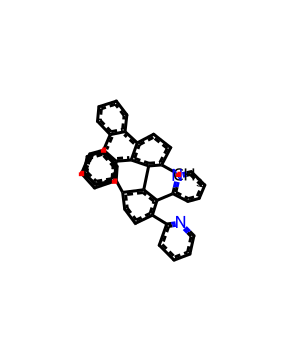 Cc1ccc2c3ccccc3c3ccccc3c2c1-c1c(-c2ccccc2)ccc(-c2ccccn2)c1-c1ccccn1